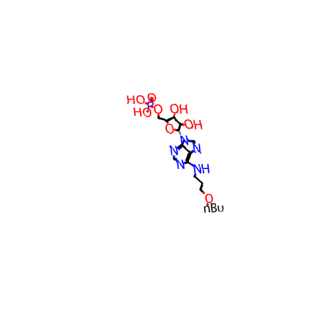 CCCCOCCCNc1ncnc2c1ncn2[C@@H]1OC(COP(=O)(O)O)[C@@H](O)C1O